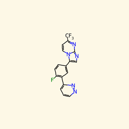 Fc1ccc(-c2cnc3nc(C(F)(F)F)ccn23)cc1-c1cccnn1